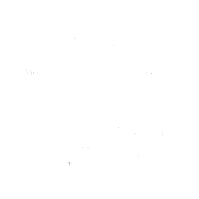 O=C(OCC(F)(F)SOOO)C1C2CC3CC1CC(O)(C3)C2